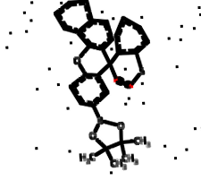 CC1(C)OB(c2ccc3c(c2)C2(c4ccccc4Sc4ccccc42)c2ccc4ccccc4c2O3)OC1(C)C